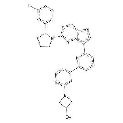 OC1CN(c2cc(-c3cccc(-c4cnc5ccc(N6CCC[C@@H]6c6cccc(F)c6)nn45)n3)ccn2)C1